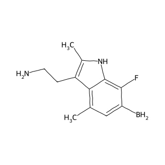 Bc1cc(C)c2c(CCN)c(C)[nH]c2c1F